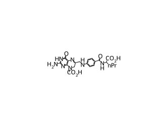 CCCC(NC(=O)c1ccc(NCC2=Nc3c(nc(N)[nH]c3=O)N(C(=O)O)C2)cc1)C(=O)O